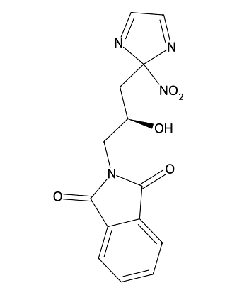 O=C1c2ccccc2C(=O)N1C[C@H](O)CC1([N+](=O)[O-])N=CC=N1